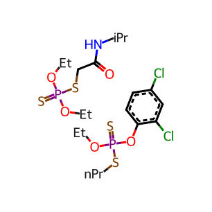 CCCSP(=S)(OCC)Oc1ccc(Cl)cc1Cl.CCOP(=S)(OCC)SCC(=O)NC(C)C